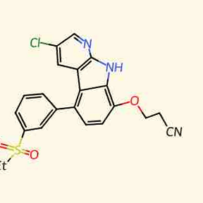 CCS(=O)(=O)c1cccc(-c2ccc(OCCC#N)c3[nH]c4ncc(Cl)cc4c23)c1